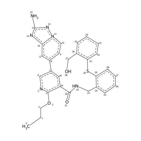 CCCOc1ncc(-c2ccn3nc(N)nc3c2)cc1C(=O)NCc1ccccc1Sc1ccccc1CO